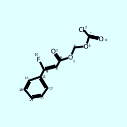 O=C(Cl)OCOC(=O)C=C(F)c1ccccc1